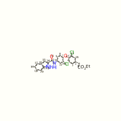 CCOC(=O)Cc1ccc(Oc2ccc(NC(=O)c3cc4ccccc4[nH]3)cc2Cl)c(Cl)c1